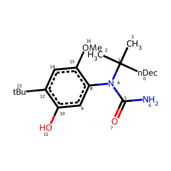 CCCCCCCCCCC(C)(C)N(C(N)=O)c1cc(O)c(C(C)(C)C)cc1OC